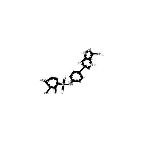 Nc1n[nH]c2nc(-c3ccc(NS(=O)(=O)c4ccc(F)c(Cl)c4F)cc3)cnc12